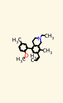 C/C=C\c1cc(-c2cc(C)ccc2OC)c2c(c1C)CN(CC)CC2